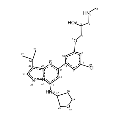 CNCC(O)COc1cc(Cl)cc(-c2cc(NC3CCOC3)n3ncc(C(C)C)c3n2)c1